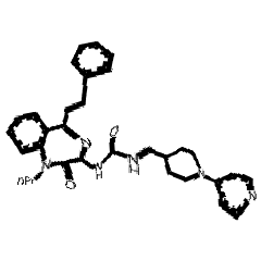 CCCN1C(=O)C(NC(=O)NCC2CCN(c3ccncc3)CC2)N=C(CCc2ccccc2)c2ccccc21